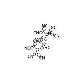 [C-]#[N+]c1ccc2c(c1)c1cc(C#N)ccc1n2-c1cc(-c2ccc3c(c2)c2cc4c(cc2n3-c2ccccc2)-c2ccc(-c3cc(-n5c6ccc(C#N)cc6c6cc([N+]#[C-])ccc65)cc(-n5c6ccc([N+]#[C-])cc6c6cc([N+]#[C-])ccc65)c3)cc2C42c3ccccc3-n3c4ccccc4c4cccc2c43)cc(-n2c3ccc(C#N)cc3c3cc(C#N)ccc32)c1